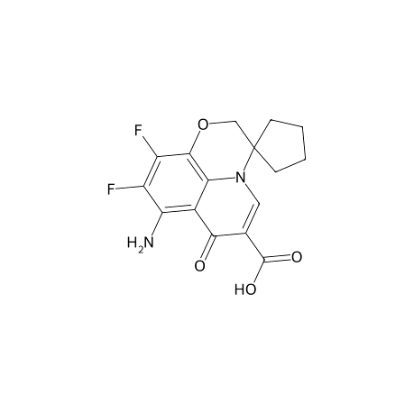 Nc1c(F)c(F)c2c3c1c(=O)c(C(=O)O)cn3C1(CCCC1)CO2